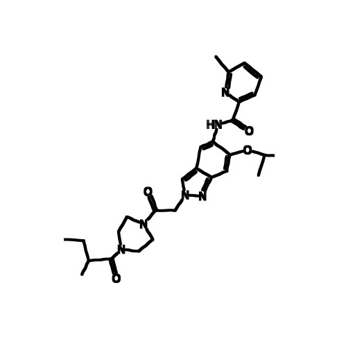 CCC(C)C(=O)N1CCN(C(=O)Cn2cc3cc(NC(=O)c4cccc(C)n4)c(OC(C)C)cc3n2)CC1